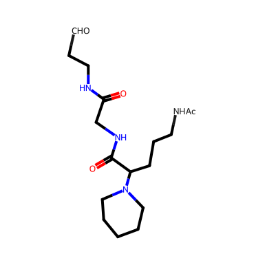 CC(=O)NCCCC(C(=O)NCC(=O)NCCC=O)N1CCCCC1